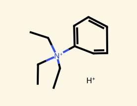 CC[N+](CC)(CC)c1ccccc1.[H+]